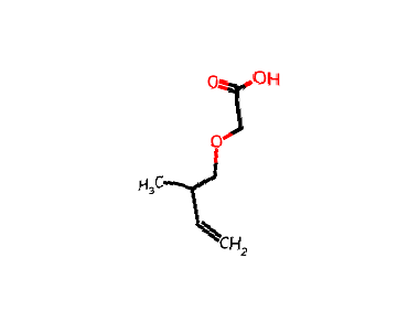 C=CC(C)COCC(=O)O